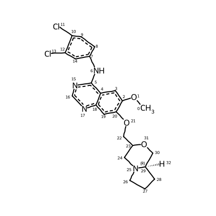 COc1cc2c(Nc3ccc(Cl)c(Cl)c3)ncnc2cc1OCC1CN2CCC[C@@H]2CO1